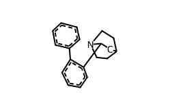 c1ccc(-c2ccccc2C2CC3CCN2CC3)cc1